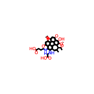 COc1c(O)c2c(=O)cc(OC)c3c4c(OC)cc(=O)c5c(NCCCC(=O)O)c(NCC(=O)O)c6c(c(c1C(C(C)=O)C(C)=C6)c23)c54